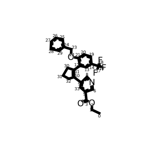 CCOC(=O)c1cncc(C2=C(c3cc(C(F)(F)F)ccc3OCc3ccccc3)CCC2)c1